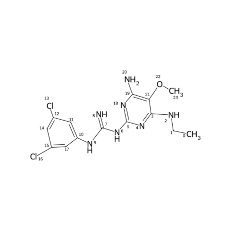 CCNc1nc(NC(=N)Nc2cc(Cl)cc(Cl)c2)nc(N)c1OC